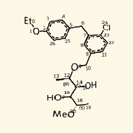 CCOc1ccc(Cc2cc(CO[C@H](C)[C@@H](O)C(O)[C@H](C)OC)ccc2Cl)cc1